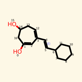 OC1=CC(/C=C/C2CCCCC2)=CCC(O)C1